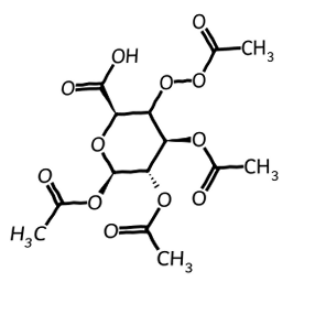 CC(=O)OOC1[C@@H](OC(C)=O)[C@H](OC(C)=O)[C@@H](OC(C)=O)O[C@H]1C(=O)O